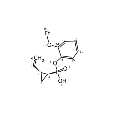 C=C[C@@H]1C[C@@H]1P(=O)(O)Oc1ccccc1OCC